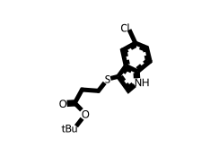 CC(C)(C)OC(=O)CCSc1c[nH]c2ccc(Cl)cc12